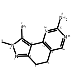 CC(C)c1c2c(nn1C)CCc1cnc(N)nc1-2